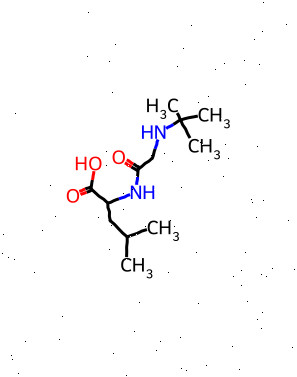 CC(C)CC(NC(=O)CNC(C)(C)C)C(=O)O